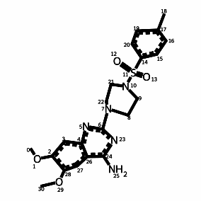 COc1cc2nc(N3CCN(S(=O)(=O)c4ccc(C)cc4)CC3)nc(N)c2cc1OC